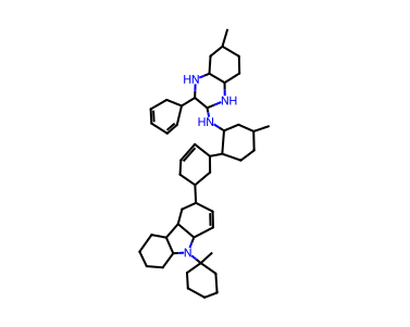 CC1CCC2NC(NC3CC(C)CCC3C3C=CCC(C4C=CC5C(C4)C4CCCCC4N5C4(C)CCCCC4)C3)C(C3C=CC=CC3)NC2C1